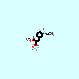 CCOc1cc(C=C(C(=O)OC)C(=O)OC)ccc1O